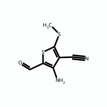 CSc1sc(C=O)c(N)c1C#N